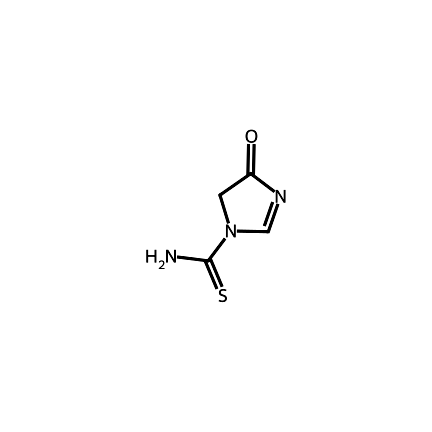 NC(=S)N1C=NC(=O)C1